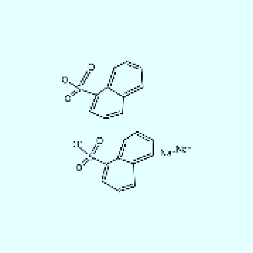 O=S(=O)([O-])c1cccc2ccccc12.O=S(=O)([O-])c1cccc2ccccc12.[Na+].[Na+]